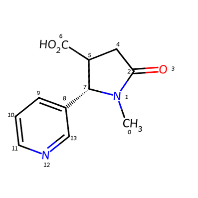 CN1C(=O)CC(C(=O)O)[C@H]1c1cccnc1